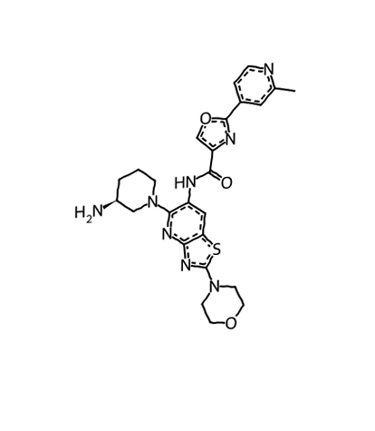 Cc1cc(-c2nc(C(=O)Nc3cc4sc(N5CCOCC5)nc4nc3N3CCC[C@H](N)C3)co2)ccn1